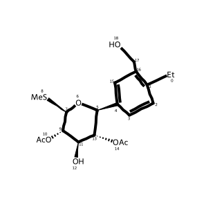 CCc1ccc([C@@H]2O[C@H](SC)[C@@H](OC(C)=O)[C@H](O)[C@H]2OC(C)=O)cc1CO